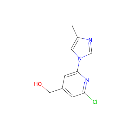 Cc1cn(-c2cc(CO)cc(Cl)n2)cn1